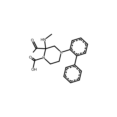 CNC1(C(C)=O)CN(c2ccccc2-c2ccccc2)CCN1C(=O)O